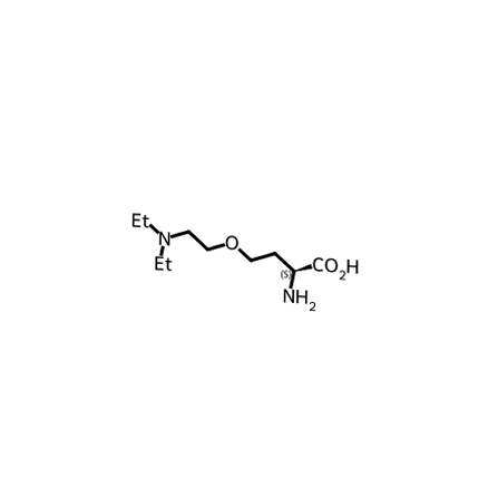 CCN(CC)CCOCC[C@H](N)C(=O)O